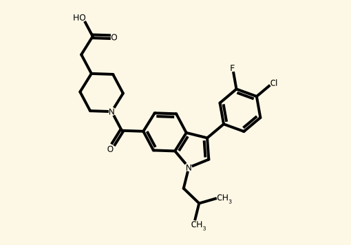 CC(C)Cn1cc(-c2ccc(Cl)c(F)c2)c2ccc(C(=O)N3CCC(CC(=O)O)CC3)cc21